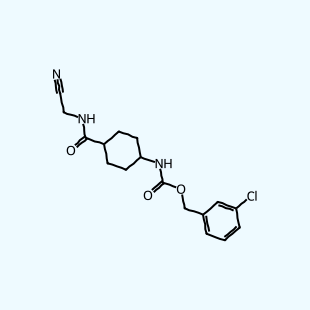 N#CCNC(=O)C1CCC(NC(=O)OCc2cccc(Cl)c2)CC1